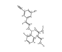 C#Cc1cc(F)cc(/C(C)=N/OCc2c(C)cccc2/C(=N\OC)C(=O)OC)c1